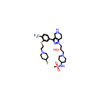 CS(=O)(=O)NC1CCN(C[C@H](O)Cn2nc(-c3ccc(C(F)(F)F)c(SCCN4CCC(F)CC4)c3)c3c2CCNC3)CC1